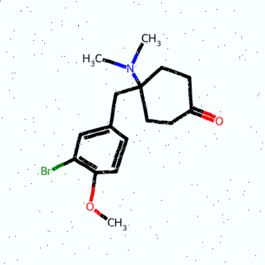 COc1ccc(CC2(N(C)C)CCC(=O)CC2)cc1Br